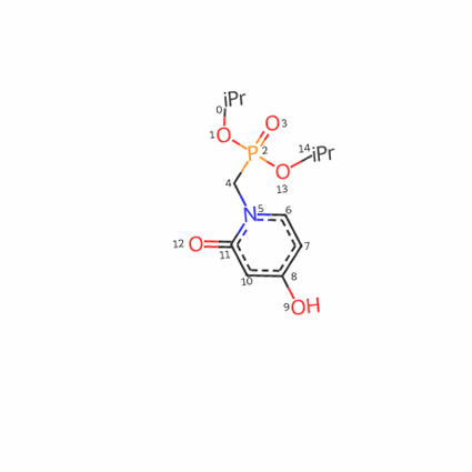 CC(C)OP(=O)(Cn1ccc(O)cc1=O)OC(C)C